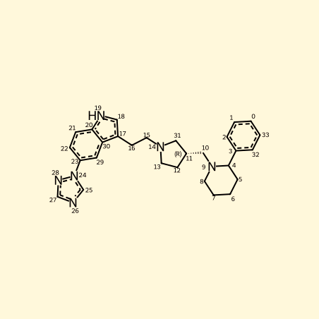 c1ccc(C2CCCCN2C[C@@H]2CCN(CCc3c[nH]c4ccc(-n5cncn5)cc34)C2)cc1